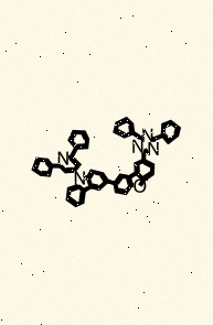 c1ccc(-c2cc(-n3c4ccccc4c4cc(-c5ccc6oc7ccc(-c8nc(-c9ccccc9)nc(-c9ccccc9)n8)cc7c6c5)ccc43)cc(-c3ccccc3)n2)cc1